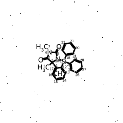 CCC1(C)C(=O)N(C)C(=O)N1[Si](c1ccccc1)(c1ccccc1)c1ccccc1